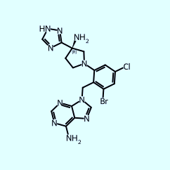 Nc1ncnc2c1ncn2Cc1c(Br)cc(Cl)cc1N1CC[C@](N)(c2nc[nH]n2)C1